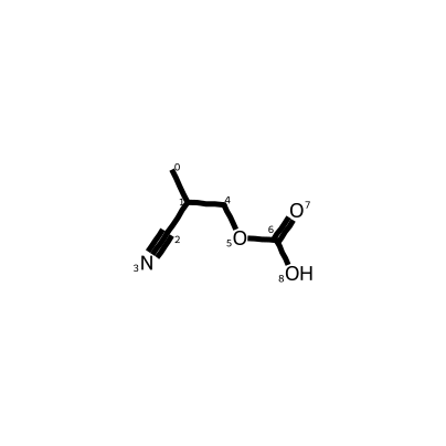 CC(C#N)COC(=O)O